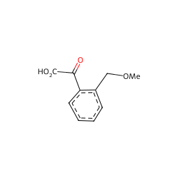 COCc1ccccc1C(=O)C(=O)O